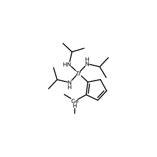 CC(C)[NH][Zr]([NH]C(C)C)([NH]C(C)C)[C]1=[C]([GeH]([CH3])[CH3])C=CC1